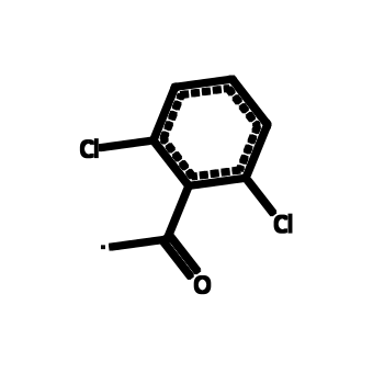 [CH2]C(=O)c1c(Cl)cccc1Cl